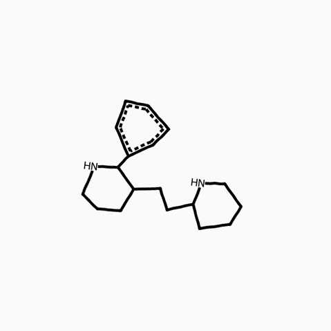 c1ccc(C2NCCCC2CCC2CCCCN2)cc1